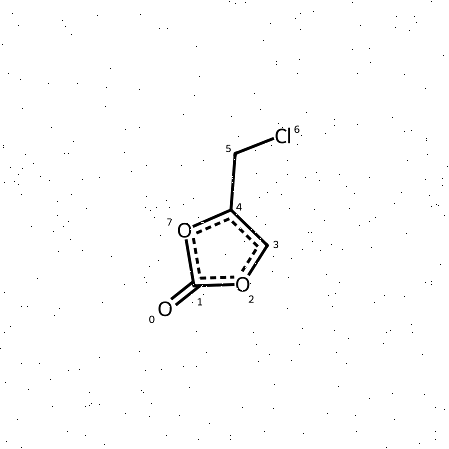 O=c1occ(CCl)o1